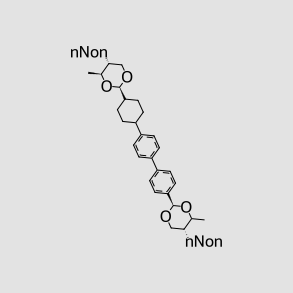 CCCCCCCCC[C@@H]1CO[C@@H](c2ccc(-c3ccc(C4CCC([C@@H]5OC[C@@H](CCCCCCCCC)[C@H](C)O5)CC4)cc3)cc2)OC1C